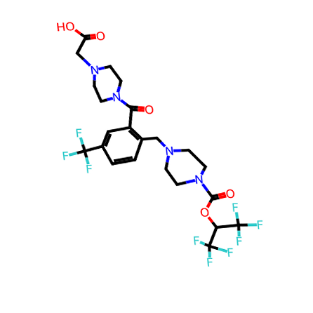 O=C(O)CN1CCN(C(=O)c2cc(C(F)(F)F)ccc2CN2CCN(C(=O)OC(C(F)(F)F)C(F)(F)F)CC2)CC1